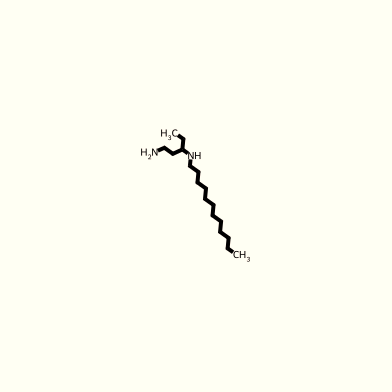 CCCCCCCCCCCCNC(CC)CCN